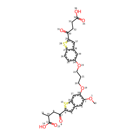 COc1cc2cc(C(=O)CC(C)C(=O)O)sc2cc1OCCCOc1ccc2sc(C(=O)CCC(=O)O)cc2c1